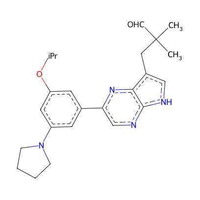 CC(C)Oc1cc(-c2cnc3[nH]cc(CC(C)(C)C=O)c3n2)cc(N2CCCC2)c1